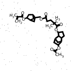 C=C(C)C(=O)OC1CC2CC1CC2COC(=O)CCC(C)(C)C(=O)OC1CCC2C3CC(CC3OC(C)=O)C12